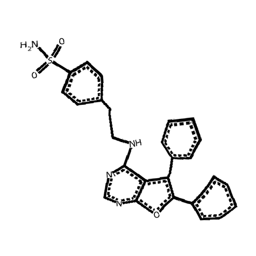 NS(=O)(=O)c1ccc(CCNc2ncnc3oc(-c4ccccc4)c(-c4ccccc4)c23)cc1